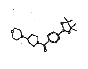 CC1(C)OB(c2ccc(C(=O)N3CCC(N4CCOCC4)CC3)cc2)OC1(C)C